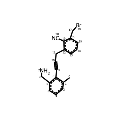 Cc1cccc(CN)c1C#CCc1cccc(CBr)c1C#N